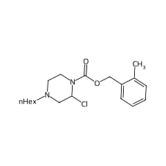 [CH2]CCCCCN1CCN(C(=O)OCc2ccccc2C)C(Cl)C1